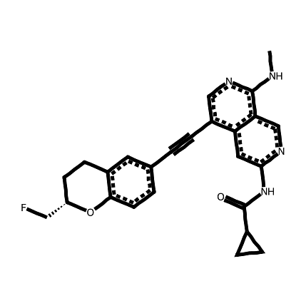 CNc1ncc(C#Cc2ccc3c(c2)CC[C@@H](CF)O3)c2cc(NC(=O)C3CC3)ncc12